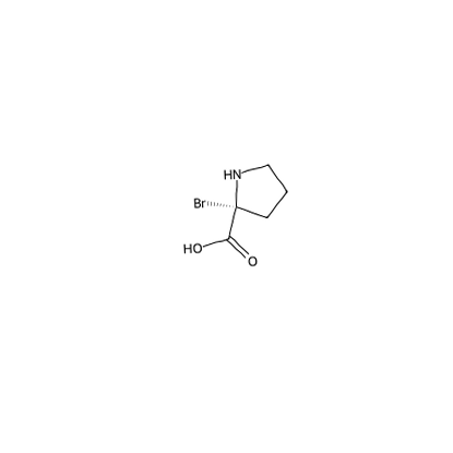 O=C(O)[C@]1(Br)CCCN1